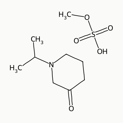 CC(C)N1CCCC(=O)C1.COS(=O)(=O)O